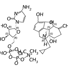 C=C1CC[C@@]2(O)[C@H]3Cc4ccc(O)c5c4[C@@]2(CCN3CC2CC2)[C@H]1O5.C[N+](C)(C)OP(=O)([O-])OP(=O)(O)OC[C@H]1O[C@@H](n2ccc(N)nc2=O)[C@H](O)[C@@H]1O